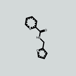 O=C(NCc1ccco1)c1ccccn1